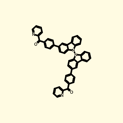 O=C(c1ccc(-c2ccc3c(c2)c2ccccc2n3-n2c3ccccc3c3cc(-c4ccc(C(=O)c5ccccn5)cc4)ccc32)cc1)c1ccccn1